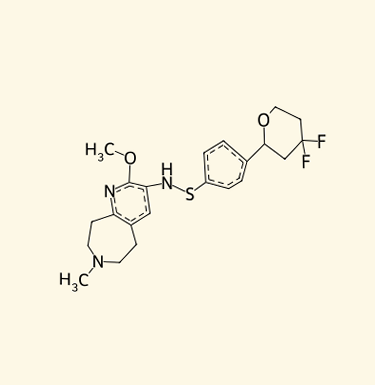 COc1nc2c(cc1NSc1ccc(C3CC(F)(F)CCO3)cc1)CCN(C)CC2